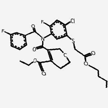 CCCCOC(=O)CSc1cc(N(C(=O)C2=C(C(=O)OCC)CCCC2)C(=O)c2cccc(F)c2)c(F)cc1Cl